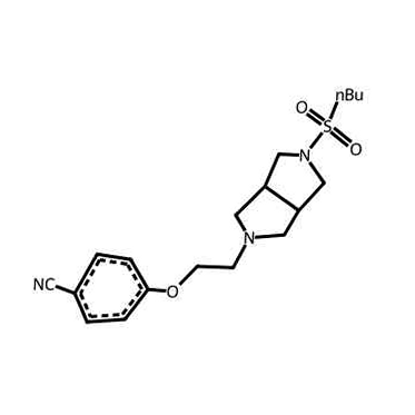 CCCCS(=O)(=O)N1CC2CN(CCOc3ccc(C#N)cc3)CC2C1